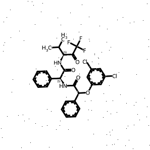 CC(C)[C@H](NC(=O)[C@@H](NC(=O)C(Oc1cc(Cl)cc(Cl)c1)c1ccccc1)c1ccccc1)C(=O)C(F)(F)F